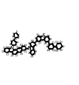 c1ccc(-c2ccc(-n3c4ccccc4c4ccc5cc6cc(-n7c8ccccc8c8cc(-c9ccc%10sc%11ccc(-c%12cccc(-c%13ccccc%13)c%12)cc%11c%10c9)ccc87)ccc6cc5c43)cc2)cc1